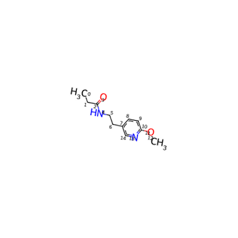 CCC(=O)NCCc1ccc(OC)nc1